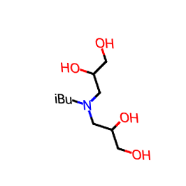 CCC(C)N(CC(O)CO)CC(O)CO